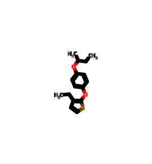 CCc1ccsc1Oc1ccc(OC(C)CC)cc1